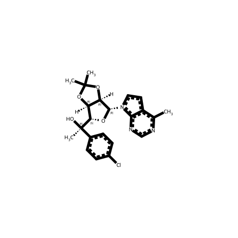 Cc1ncnc2c1ccn2[C@@H]1O[C@H]([C@](C)(O)c2ccc(Cl)cc2)[C@H]2OC(C)(C)O[C@H]21